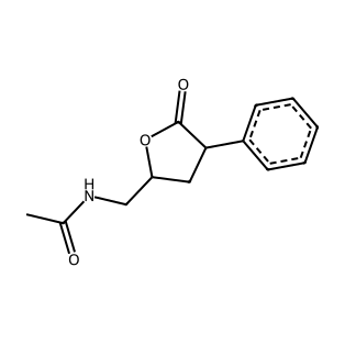 CC(=O)NCC1CC(c2ccccc2)C(=O)O1